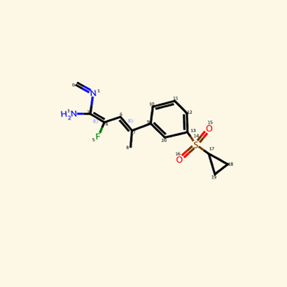 C=N/C(N)=C(F)\C=C(/C)c1cccc(S(=O)(=O)C2CC2)c1